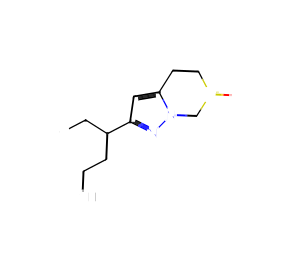 CCCC(CC)c1cc2n(n1)C[S+]([O-])CC2